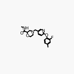 CNC(=O)C1CN(Cc2ccc(Oc3ccc(C)cc3F)nc2)CCO1